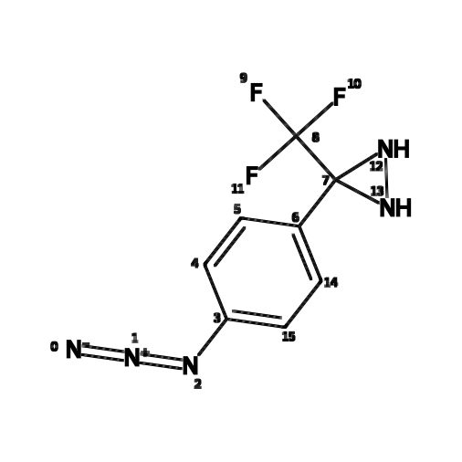 [N-]=[N+]=Nc1ccc(C2(C(F)(F)F)NN2)cc1